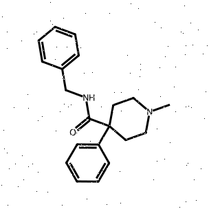 CN1CCC(C(=O)NCc2ccccc2)(c2ccccc2)CC1